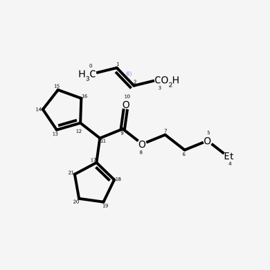 C/C=C/C(=O)O.CCOCCOC(=O)C(C1=CCCC1)C1=CCCC1